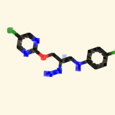 N=N/C(=C\Nc1ccc(F)cc1)COc1ncc(Cl)cn1